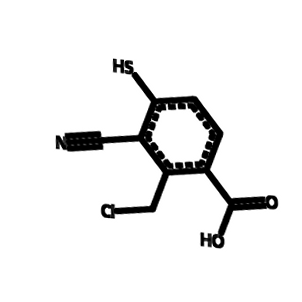 N#Cc1c(S)ccc(C(=O)O)c1CCl